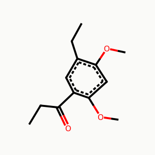 CCC(=O)c1cc(CC)c(OC)cc1OC